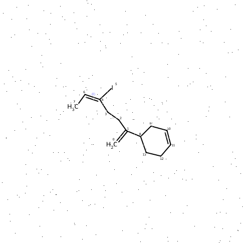 C=C(CC/C(I)=C\C)C1CC=CCC1